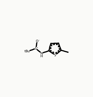 Cc1ccc(N[S+]([O-])C(C)(C)C)s1